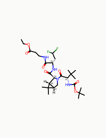 CCOC(=O)CCNC(=O)[C@H](CC(F)F)NC(=O)[C@@H]1[C@@H]2[C@H](CN1C(=O)[C@@H](NC(=O)OC(C)(C)C)C(C)(C)C)C2(C)C